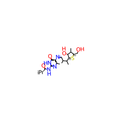 Cc1nc(NC(=O)C(C)C)[nH]c(=O)c1/N=C\C(C)C(C)[C@@H]1S[C@H](CO)C(C)C1O